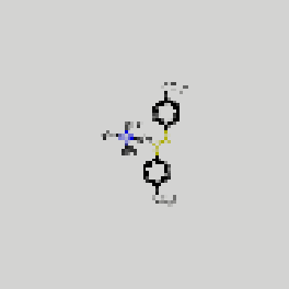 CCC[N+](CCC)(CCC)CCC.O=C(O)c1ccc(SSc2ccc(C(=O)O)cc2)cc1